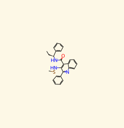 CC[C@H](NC(=O)c1c(NSC)c(-c2ccccc2)nc2ccccc12)c1ccccc1